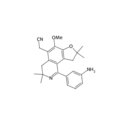 COc1c(CC#N)c2c(c3c1OC(C)(C)C3)C(c1cccc(N)c1)=NC(C)(C)C2